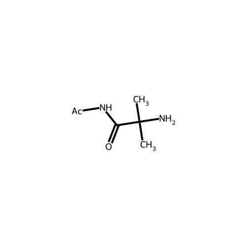 CC(=O)NC(=O)C(C)(C)N